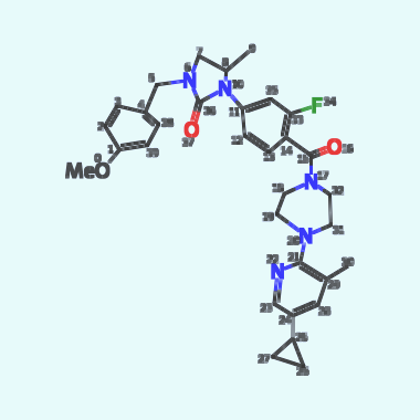 COc1ccc(CN2CC(C)N(c3ccc(C(=O)N4CCN(c5ncc(C6CC6)cc5C)CC4)c(F)c3)C2=O)cc1